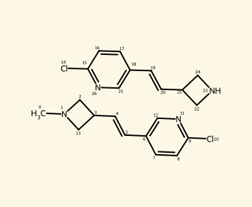 CN1CC(/C=C/c2ccc(Cl)nc2)C1.Clc1ccc(/C=C/C2CNC2)cn1